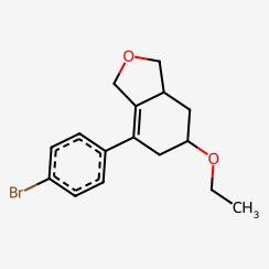 CCOC1CC(c2ccc(Br)cc2)=C2COCC2C1